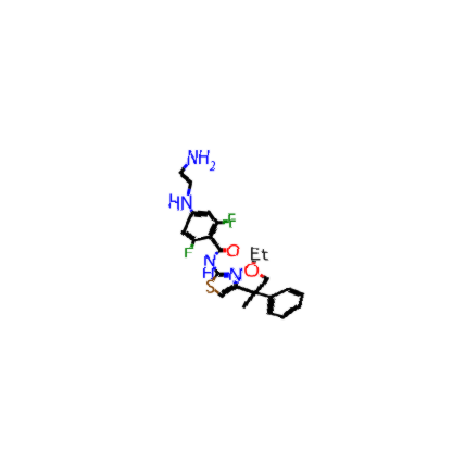 CCOCC(C)(c1ccccc1)c1csc(NC(=O)c2c(F)cc(NCCN)cc2F)n1